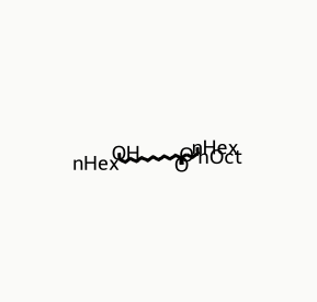 CCCCCCCCC(CCCCCC)COC(=O)CCCCCCCCCCC(O)CCCCCC